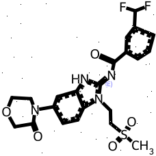 CS(=O)(=O)CCn1/c(=N/C(=O)c2cccc(C(F)F)c2)[nH]c2cc(N3CCOCC3=O)ccc21